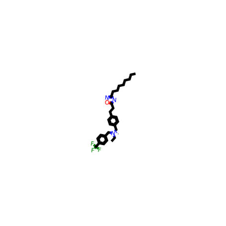 CCCCCCCCc1noc(CCc2ccc(C[N+](CC)Cc3ccc(C(F)(F)F)cc3)cc2)n1